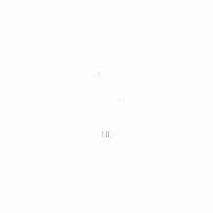 NCCS.[Fe]